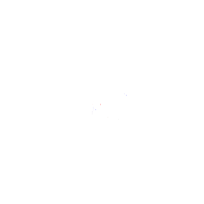 CCCCCCCCCCCC(=O)N(I)C(CCSC)C(=O)OCCCCCN(CC)CCCCCCC